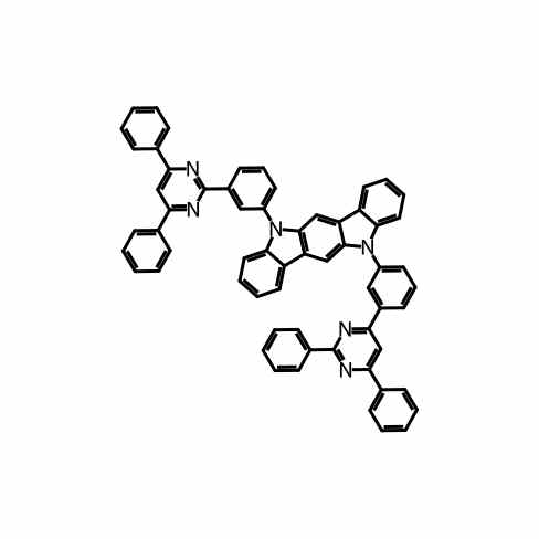 c1ccc(-c2cc(-c3cccc(-n4c5ccccc5c5cc6c(cc54)c4ccccc4n6-c4cccc(-c5nc(-c6ccccc6)cc(-c6ccccc6)n5)c4)c3)nc(-c3ccccc3)n2)cc1